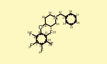 Fc1c(F)c(F)c(OC2CCN(Cc3ccccc3)CC2)c(F)c1F